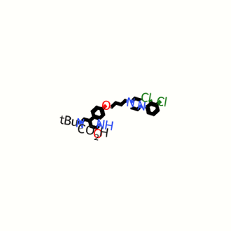 CC(C)(C)N(CC1CC(=O)Nc2cc(OCCCCN3CCN(c4cccc(Cl)c4Cl)CC3)ccc21)C(=O)O